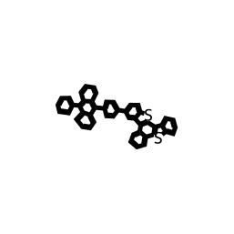 c1ccc(-c2c3ccccc3c(-c3ccc(-c4ccc5sc6c(c5c4)c4ccccc4c4sc5ccccc5c46)cc3)c3ccccc23)cc1